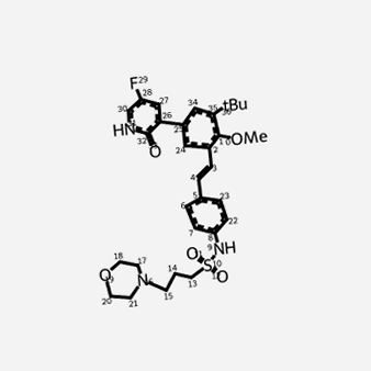 COc1c(/C=C/c2ccc(NS(=O)(=O)CCCN3CCOCC3)cc2)cc(-c2cc(F)c[nH]c2=O)cc1C(C)(C)C